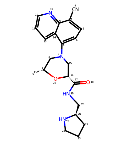 C[C@@H]1CN(c2ccc(C#N)c3ncccc23)C[C@H](C(=O)NC[C@H]2CCCN2)O1